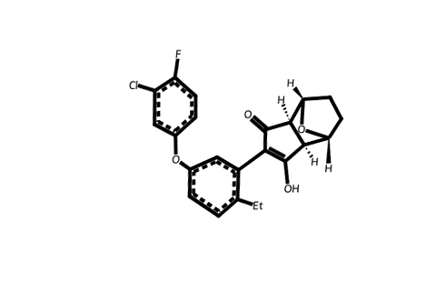 CCc1ccc(Oc2ccc(F)c(Cl)c2)cc1C1=C(O)[C@H]2[C@@H](C1=O)[C@@H]1CC[C@H]2O1